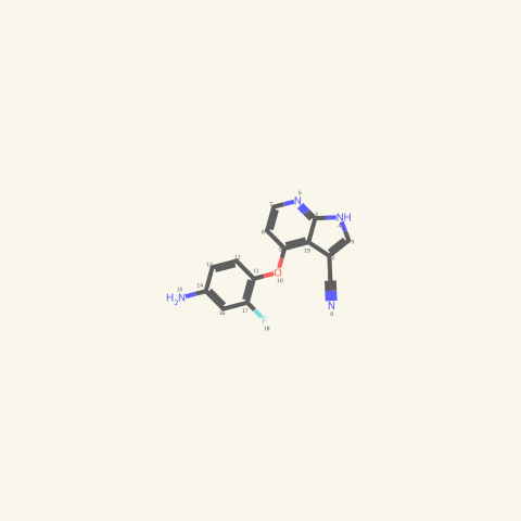 N#Cc1c[nH]c2nccc(Oc3ccc(N)cc3F)c12